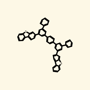 c1ccc(-c2cc(-c3ccc(-c4cc(-c5ccccc5)cc(-c5ccc6c(c5)sc5ccccc56)c4)cc3)cc(-c3ccc4c(c3)sc3ccccc34)c2)cc1